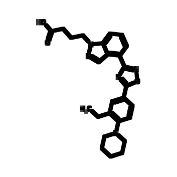 CCc1cc(-c2nc(-c3cccc4c3cnn4CCCC(=O)O)no2)ccc1N1CCCCC1